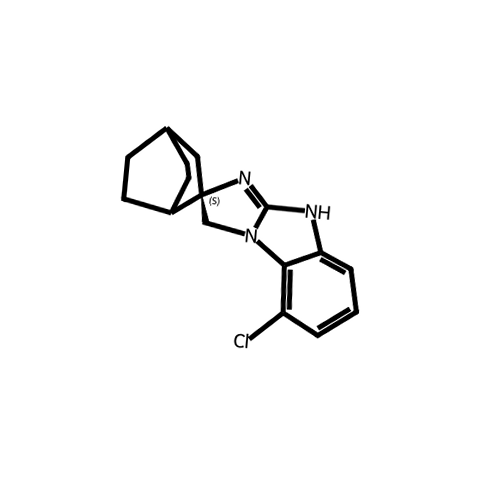 Clc1cccc2c1N1C[C@@]3(CC4CCC3CC4)N=C1N2